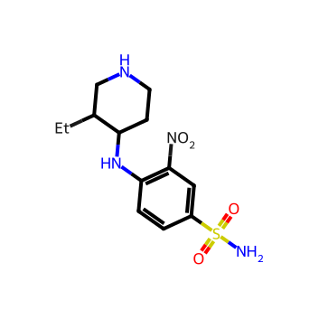 CCC1CNCCC1Nc1ccc(S(N)(=O)=O)cc1[N+](=O)[O-]